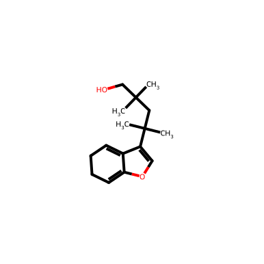 CC(C)(CO)CC(C)(C)c1coc2c1=CCCC=2